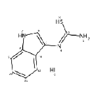 I.NC(S)=Nc1c[nH]c2ccccc12